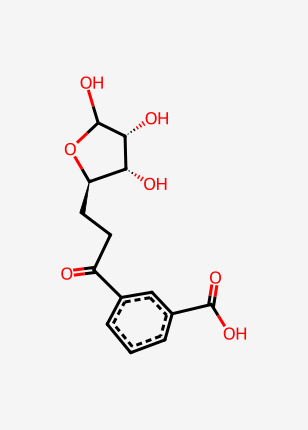 O=C(O)c1cccc(C(=O)CC[C@H]2OC(O)[C@H](O)[C@@H]2O)c1